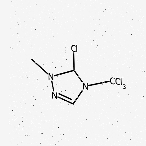 CN1N=CN(C(Cl)(Cl)Cl)C1Cl